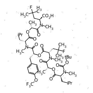 CC(C)C[C@H](C(=O)O[C@H](C)C(=O)N(C)[C@@H](CC(C)(C)F)C(=O)O)N(C)C(=O)[C@@H](Cc1ccc(OC(F)(F)F)cc1)OC(=O)[C@H](CC(C)(C)F)N(C)C(=O)[C@@H](C)OC(=O)[C@H](CC(C)C)N(C)C(=O)OC(C)(C)C